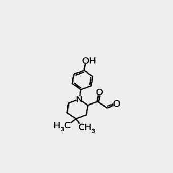 CC1(C)CCN(c2ccc(O)cc2)C(C(=O)C=O)C1